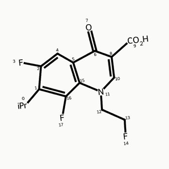 CC(C)c1c(F)cc2c(=O)c(C(=O)O)cn(CCF)c2c1F